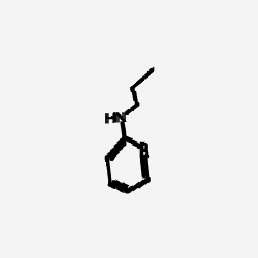 CCCNc1bcccc1